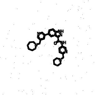 O=C(Nc1ccc(CN2CCCCC2)nc1)c1n[nH]c2ccc(-c3cncc(CN4CCCCCC4)c3)cc12